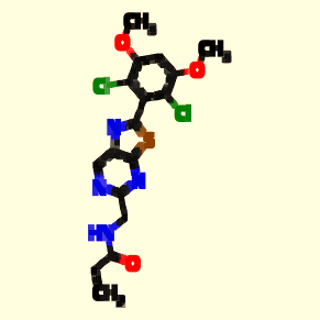 C=CC(=O)NCc1ncc2nc(-c3c(Cl)c(OC)cc(OC)c3Cl)sc2n1